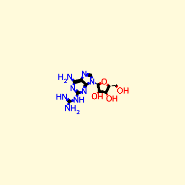 N=C(N)Nc1nc(N)c2ncn([C@@H]3O[C@H](CO)[C@@H](O)[C@H]3O)c2n1